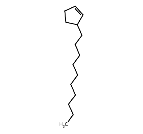 CCCCCCCCCCC1C=CCC1